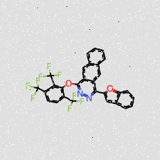 FC(F)(F)c1ccc(C(F)(F)F)c(C(F)(F)F)c1Oc1nnc(-c2cc3ccccc3o2)c2cc3ccccc3cc12